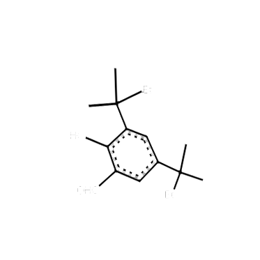 CCC(C)(C)c1cc(C=O)c(O)c(C(C)(C)CC)c1